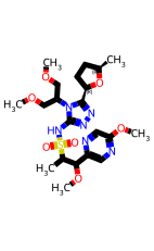 COCC(COC)n1c(NS(=O)(=O)C(C)C(OC)c2cnc(OC)cn2)nnc1[C@H]1CC[C@@H](C)O1